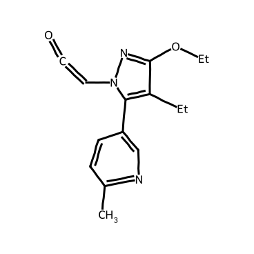 CCOc1nn(C=C=O)c(-c2ccc(C)nc2)c1CC